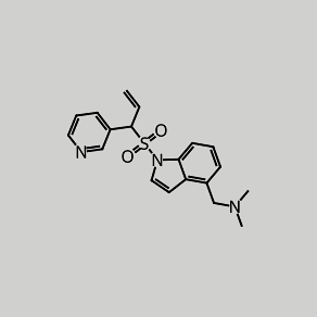 C=CC(c1cccnc1)S(=O)(=O)n1ccc2c(CN(C)C)cccc21